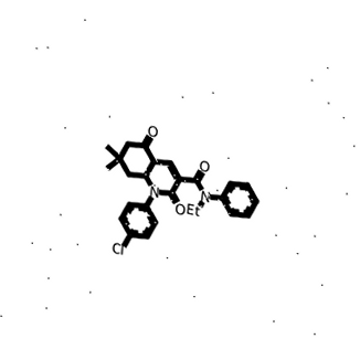 CCN(C(=O)C1=CC2C(=O)CC(C)(C)CC2N(c2ccc(Cl)cc2)C1=O)c1ccccc1